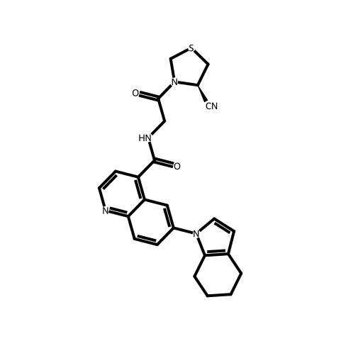 N#C[C@@H]1CSCN1C(=O)CNC(=O)c1ccnc2ccc(-n3ccc4c3CCCC4)cc12